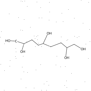 OCC(O)CCC(O)CCC(O)CO